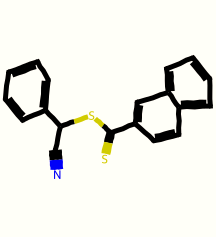 N#CC(SC(=S)c1ccc2ccccc2c1)c1ccccc1